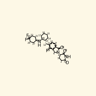 O=C1CC[C@H](N2Cc3c(ccc(C[C@H]4CCCC[C@@H]4NC4CCC(F)(F)CC4)c3F)C2=O)C(=O)N1